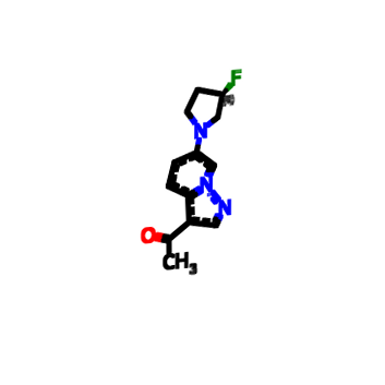 CC(=O)c1cnn2cc(N3CC[C@@H](F)C3)ccc12